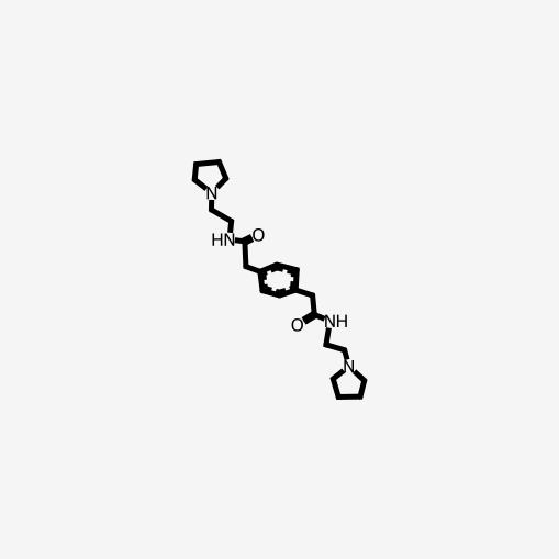 O=C(Cc1ccc(CC(=O)NCCN2CCCC2)cc1)NCCN1CCCC1